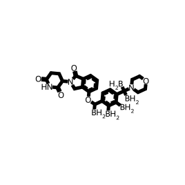 Bc1c(C(B)Oc2cccc3c2CN(C2CCC(=O)NC2=O)C3=O)ccc(C(B)(B)N2CCOCC2)c1B